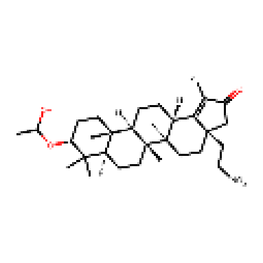 CC(O)O[C@H]1CC[C@]2(C)[C@H]3CC[C@@H]4C5=C(C(C)C)C(=O)C[C@]5(CC[N+](=O)[O-])CC[C@@]4(C)[C@]3(C)CC[C@H]2C1(C)C